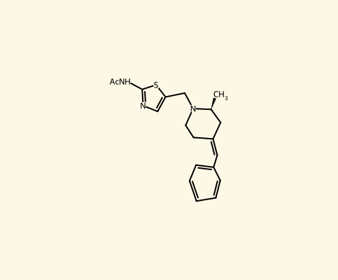 CC(=O)Nc1ncc(CN2CC/C(=C\c3ccccc3)C[C@@H]2C)s1